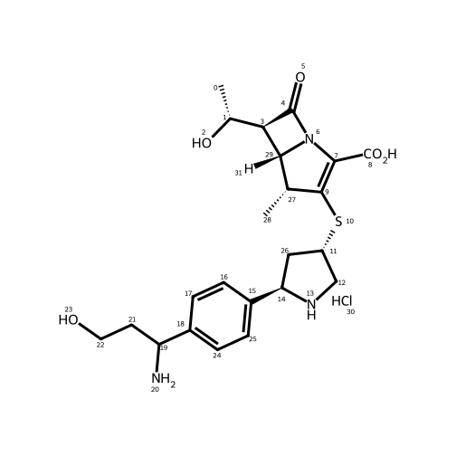 C[C@@H](O)[C@H]1C(=O)N2C(C(=O)O)=C(S[C@@H]3CN[C@@H](c4ccc(C(N)CCO)cc4)C3)[C@H](C)[C@H]12.Cl